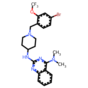 CN(C)c1nc(NC2CCN(Cc3ccc(Br)cc3OC(F)(F)F)CC2)nc2ccccc12